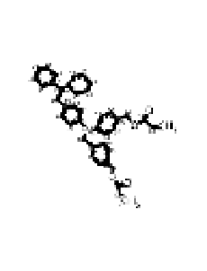 C=CC(=O)OCc1ccc(CN(c2ccc(C=C(c3ccccc3)c3ccccc3)cc2)c2ccc(COC(=O)C=C)cc2)cc1